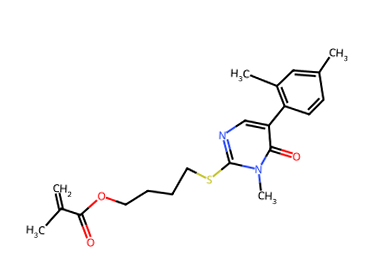 C=C(C)C(=O)OCCCCSc1ncc(-c2ccc(C)cc2C)c(=O)n1C